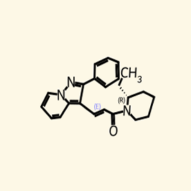 CC[C@@H]1CCCCN1C(=O)/C=C/c1c(-c2ccccc2)nn2ccccc12